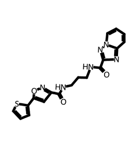 O=C(NCCCNC(=O)c1nc2ccccn2n1)c1cc(-c2cccs2)on1